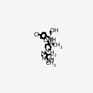 C=Cc1c(NC)ncnc1N1CCC(NC)(C(=O)N[C@@H](CCO)c2ccc(Cl)cc2)CC1